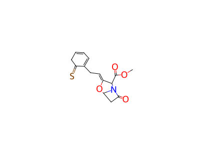 COC(=O)C1C(=CCC2=CC=CCC2=S)OC2CC(=O)N21